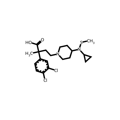 CSN(C1CC1)C1CCN(CCC(C)(C(=O)O)c2ccc(Cl)c(Cl)c2)CC1